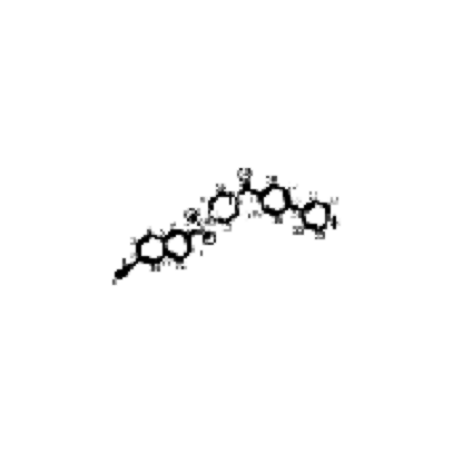 C#Cc1ccc2cc(S(=O)(=O)N3CCN(C(=O)c4ccc(-c5ccncc5)cc4)CC3)ccc2c1